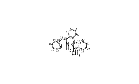 Cn1nc(-c2ccccc2[C@@H](N)Cc2ccccn2)c2ccccc21